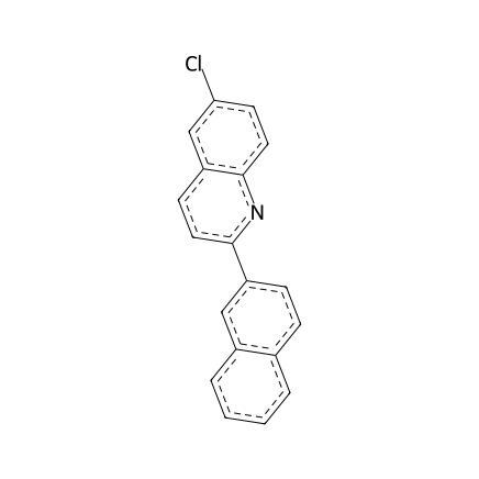 Clc1ccc2nc(-c3ccc4ccccc4c3)ccc2c1